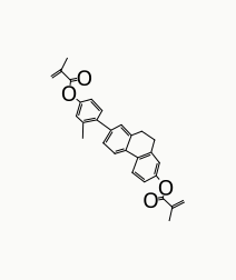 C=C(C)C(=O)Oc1ccc(-c2ccc3c(c2)CCc2cc(OC(=O)C(=C)C)ccc2-3)c(C)c1